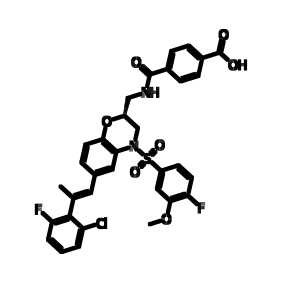 COc1cc(S(=O)(=O)N2C[C@H](CNC(=O)c3ccc(C(=O)O)cc3)Oc3ccc(/C=C(\C)c4c(F)cccc4Cl)cc32)ccc1F